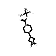 CC(C)(C)OC(=O)N1CCN(C2CS(=O)(=O)C2)CC1